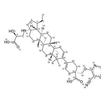 CC[C@@H]1CC[C@]2(NC[C@H](O)C(=O)O)CC[C@]3(C)[C@H](CC[C@@H]4[C@@]5(C)CC=C(C6=CC[C@](COc7ncccc7C#N)(C(=O)O)CC6)C(C)(C)[C@@H]5CC[C@]43C)[C@@H]12